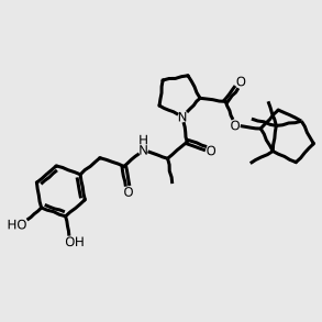 CC(NC(=O)Cc1ccc(O)c(O)c1)C(=O)N1CCCC1C(=O)OC1CC2CCC1(C)C2(C)C